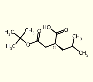 CC(C)C[C@@H](CC(=O)OC(C)(C)C)C(=O)O